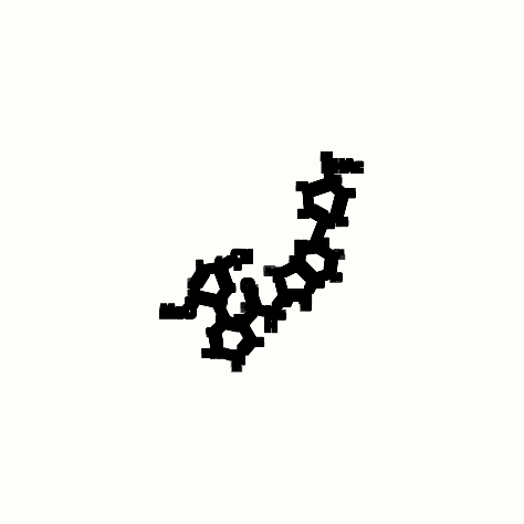 COc1ccc(C#N)cc1-c1cnncc1C(=O)Nc1nc2ccc(-c3ccc(NC(C)=O)cc3)nc2s1